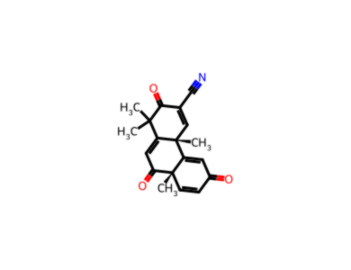 CC1(C)C(=O)C(C#N)=C[C@@]2(C)C1=CC(=O)[C@@]1(C)C=CC(=O)C=C21